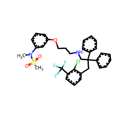 CN(c1cccc(OCCCNCC(Cc2cccc(C(F)(F)F)c2Cl)(c2ccccc2)c2ccccc2)c1)S(C)(=O)=O